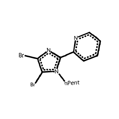 CCCCCn1c(-c2ccccn2)nc(Br)c1Br